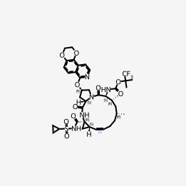 C[C@@H]1CC/C=C\[C@@H]2C[C@@]2(C(=O)NS(=O)(=O)C2CC2)NC(=O)[C@@H]2C[C@@H](Oc3nccc4c5c(ccc34)OCCO5)CN2C(=O)[C@@H](NC(=O)OC(C)(C)C(F)(F)F)[C@H](C)C1